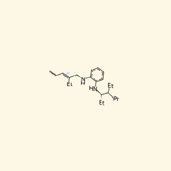 C=C/C=C(\CC)CNc1ccccc1NC(CC)C(CC)C(C)C